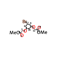 COC(=O)COc1cc(Br)cc(OCC(=O)OC)c1